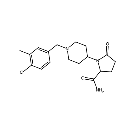 Cc1cc(CN2CCC(N3C(=O)CCC3C(N)=O)CC2)ccc1Cl